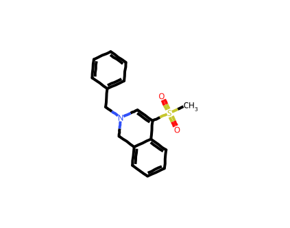 CS(=O)(=O)C1=CN(Cc2ccccc2)Cc2ccccc21